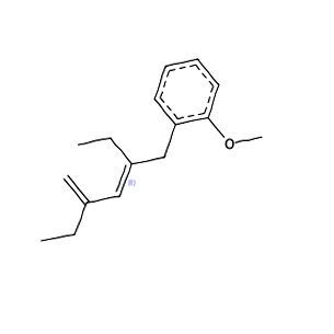 C=C(/C=C(\CC)Cc1ccccc1OC)CC